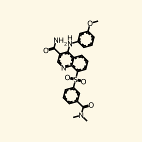 COc1cccc(Nc2c(C(N)=O)cnc3c(S(=O)(=O)c4cccc(C(=O)N(C)C)c4)cccc23)c1